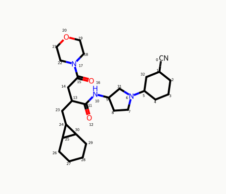 N#CC1CCCC(N2CCC(NC(=O)C(CC(=O)N3CCOCC3)CC3C4CCCCC43)C2)C1